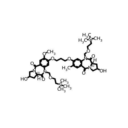 COc1cc2c(cc1OCCCOc1cc3c(cc1C)C(=O)N1CC(O)C[C@H]1C(=O)N3COCC[Si](C)(C)C)N(COCC[Si](C)(C)C)C(=O)[C@@H]1CC(O)CN1C2=O